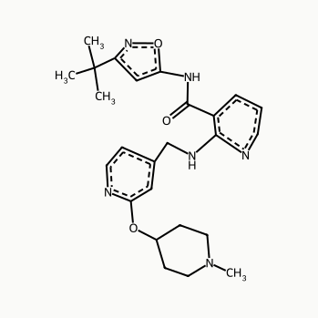 CN1CCC(Oc2cc(CNc3ncccc3C(=O)Nc3cc(C(C)(C)C)no3)ccn2)CC1